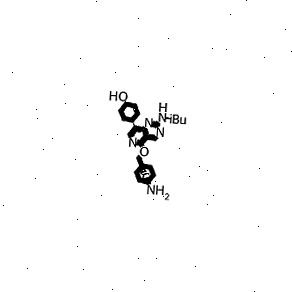 CC[C@H](C)Nc1ncc2c(OCC34CCC(N)(CC3)CC4)ncc([C@H]3CC[C@H](O)CC3)c2n1